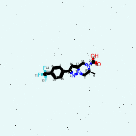 C[C@H]1Cn2nc(-c3ccc(C(F)(F)F)cc3)cc2CN1C(=O)O